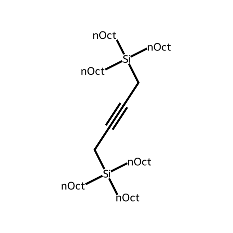 CCCCCCCC[Si](CC#CC[Si](CCCCCCCC)(CCCCCCCC)CCCCCCCC)(CCCCCCCC)CCCCCCCC